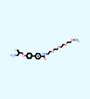 COCCOCCOCCOCCNC(=O)C12CCC(c3ccc(OC/C(=C/F)CN)cc3)(CC1)CC2